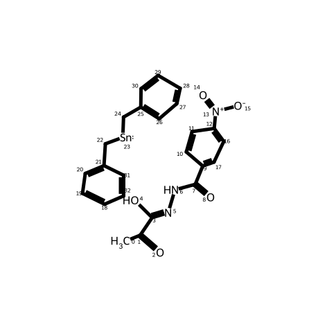 CC(=O)C(O)=NNC(=O)c1ccc([N+](=O)[O-])cc1.c1ccc([CH2][Sn][CH2]c2ccccc2)cc1